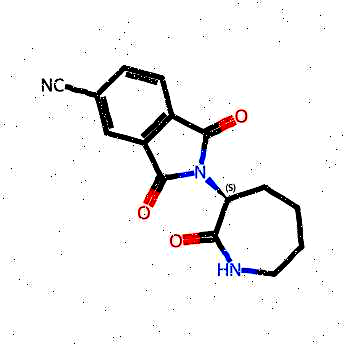 N#Cc1ccc2c(c1)C(=O)N([C@H]1CCCCNC1=O)C2=O